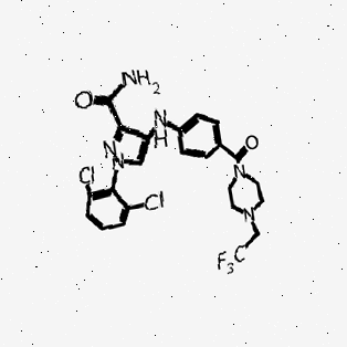 NC(=O)c1nn(-c2c(Cl)cccc2Cl)cc1Nc1ccc(C(=O)N2CCN(CC(F)(F)F)CC2)cc1